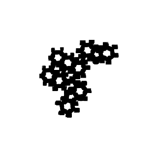 c1ccc(-c2cccc3cccc(-c4ccccc4N(c4ccc(-c5cccc6c5oc5ccccc56)cc4)c4cccc5c4sc4ccccc45)c23)cc1